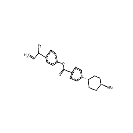 C=CC(CC)c1ccc(OC(=O)c2ccc([C@H]3CC[C@H](CCCC)CC3)cc2)cc1